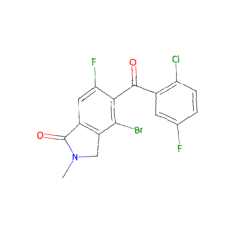 CN1Cc2c(cc(F)c(C(=O)c3cc(F)ccc3Cl)c2Br)C1=O